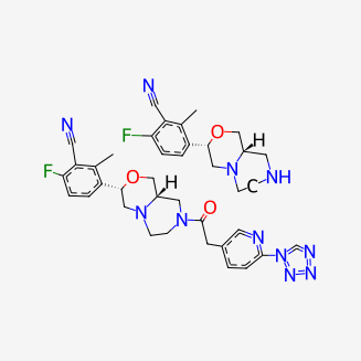 Cc1c([C@H]2CN3CCN(C(=O)Cc4ccc(-n5cnnn5)nc4)C[C@H]3CO2)ccc(F)c1C#N.Cc1c([C@H]2CN3CCNC[C@H]3CO2)ccc(F)c1C#N